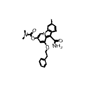 Cc1ccc2c(C(N)=O)c3c(OCCc4ccccc4)cc(OC(=O)N(C)C)cn3c2c1